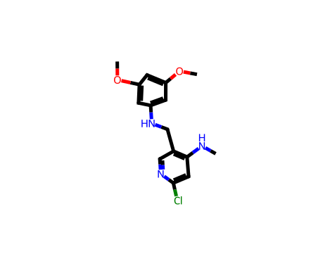 CNc1cc(Cl)ncc1CNc1cc(OC)cc(OC)c1